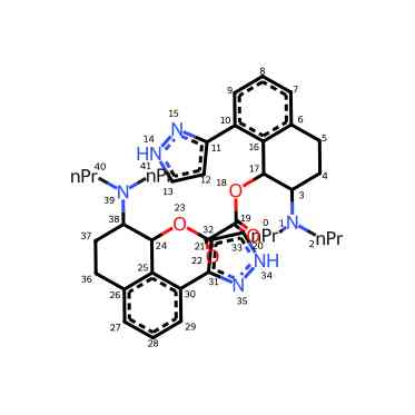 CCCN(CCC)C1CCc2cccc(-c3cc[nH]n3)c2C1OC(=O)C(=O)OC1c2c(cccc2-c2cc[nH]n2)CCC1N(CCC)CCC